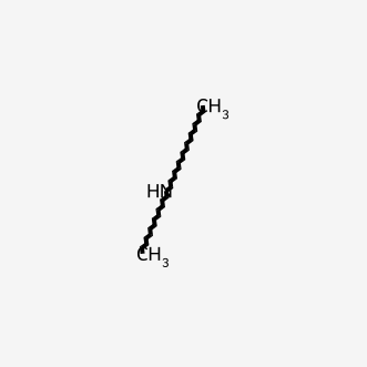 CCCCCCCCCCCCCCCCCCNCCCCCCCCCCCCC